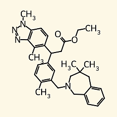 CCOC(=O)CC(c1ccc(C)c(CN2Cc3ccccc3CC(C)(C)C2)c1)c1ccc2c(nnn2C)c1C